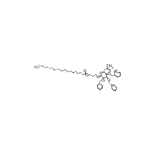 CCCCCCCCCCCCCCCCCC(=O)OCCCO[C@H]1O[C@H](CC(C)=S)[C@@H](OCc2ccccc2)[C@H](OCc2ccccc2)[C@H]1OCc1ccccc1